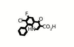 O=C(O)c1c[nH]c2c(-c3ccccc3)c(Cl)c(F)cc2c1=O